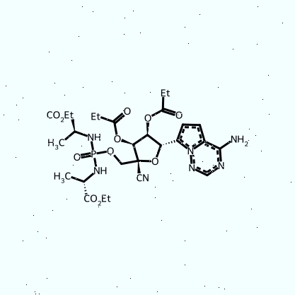 CCOC(=O)[C@H](C)NP(=O)(N[C@@H](C)C(=O)OCC)OC[C@@]1(C#N)O[C@@H](c2ccc3c(N)ncnn23)[C@H](OC(=O)CC)[C@@H]1OC(=O)CC